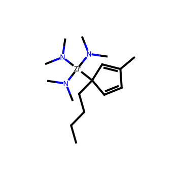 CCCC[C]1([Zr]([N](C)C)([N](C)C)[N](C)C)C=CC(C)=C1